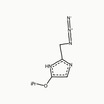 CC(C)Oc1cnc(CN=[N+]=[N-])[nH]1